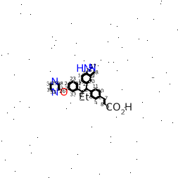 CCC(=C(c1ccc(C=CC(=O)O)cc1)c1ccc2[nH]ncc2c1)c1cccc(Oc2cnccn2)c1